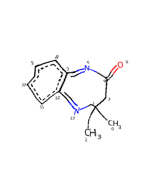 CC1(C)CC(=O)N=c2ccccc2=N1